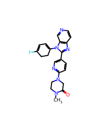 CN1CCN(c2ccc(-c3nc4ccncc4n3C3=CC=C(F)CC3)cn2)CC1=O